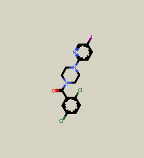 O=C(c1cc(Cl)ccc1Cl)N1CCN(c2ccc(I)cn2)CC1